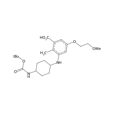 COCCOc1cc(NC2CCC(NC(=O)OC(C)(C)C)CC2)c(C)c(C(=O)O)c1